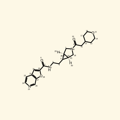 O=C(NCCC1[C@H]2CN(C(=O)CC3CCOCC3)C[C@@H]12)c1cc2ccncc2o1